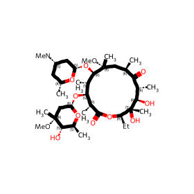 CC[C@H]1OC(=O)[C@H](C)[C@@H](O[C@H]2C[C@@](C)(OC)[C@@H](O)[C@H](C)O2)[C@H](C)[C@@H](O[C@H]2C[C@@H](NC)C[C@@H](C)O2)[C@](C)(OC)C[C@@H](C)C(=O)[C@H](C)[C@@H](O)[C@]1(C)O